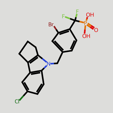 O=P(O)(O)C(F)(F)c1ccc(Cn2c3c(c4cc(Cl)ccc42)CCC3)cc1Br